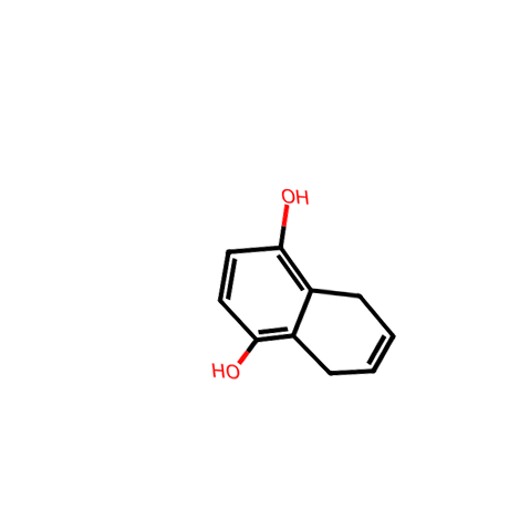 Oc1ccc(O)c2c1CC=CC2